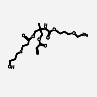 C=CC(=O)OCC(C)(COC(=O)CCSCCCO)NC(=O)OCCCOCC(C)CC